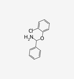 NC(Oc1ccccc1Cl)c1ccccc1